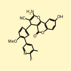 COc1ccc(C2C(C#N)=C(N)Oc3c2c(=O)oc2ccc(O)cc32)cc1-c1cnc(F)c(C)c1